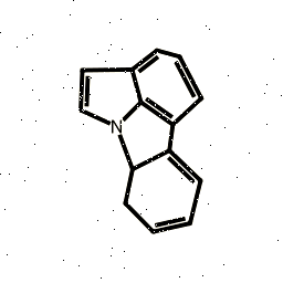 C1=CCC2C(=C1)c1cccc3ccn2c13